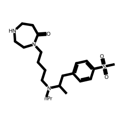 CCCN(CCCCN1CCNCCC1=O)C(C)Cc1ccc(S(C)(=O)=O)cc1